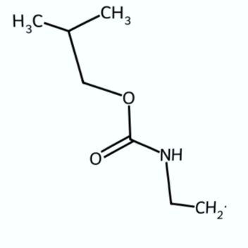 [CH2]CNC(=O)OCC(C)C